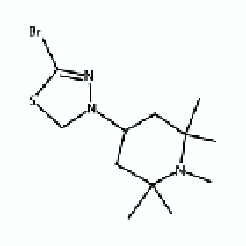 CN1C(C)(C)CC(N2CSC(Br)=N2)CC1(C)C